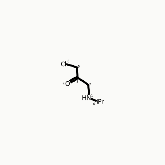 CC(C)NCC(=O)CCl